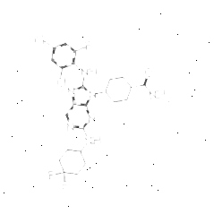 NC(=O)[C@H]1CC[C@@H](n2c(Nc3c(F)cc(Cl)cc3Cl)nc3cnc(NC4CCC(F)(F)CC4)nc32)CC1